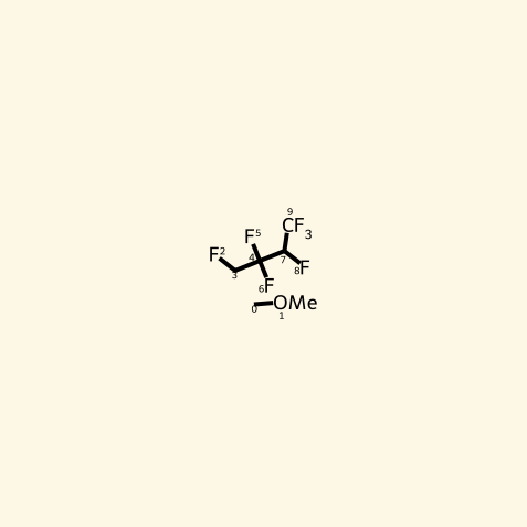 COC.FCC(F)(F)C(F)C(F)(F)F